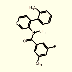 Cc1ccccc1-c1ccncc1N(C)C(=O)c1cc(F)cc(C(F)(F)F)c1